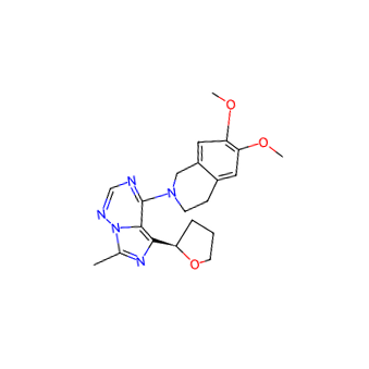 COc1cc2c(cc1OC)CN(c1ncnn3c(C)nc([C@H]4CCCO4)c13)CC2